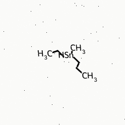 CC[CH2][SnH]([CH3])[CH2]CC